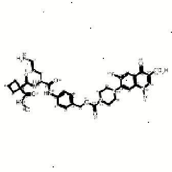 CCNC(=O)C1(C(=O)N[C@@H](CCCN)C(=O)Nc2ccc(COC(=O)N3CCN(c4cc5c(cc4F)c(=O)c(C(=O)O)cn5CC)CC3)cc2)CCC1